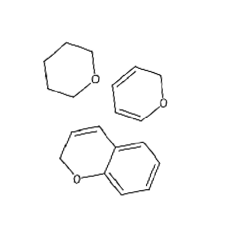 C1=CCOC=C1.C1=Cc2ccccc2OC1.C1CCOCC1